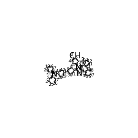 Cc1ccc(N2C(c3ccc(-c4ccc(N(c5ccccc5)c5ccccc5)cc4)cc3)=NC3c4ccccc4-c4ccccc4C32)cc1